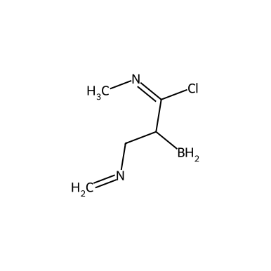 BC(CN=C)/C(Cl)=N\C